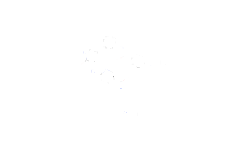 CN(C)c1ccc(C(=O)Nc2cccc(-c3c[nH]c(=O)c(Nc4ccc(C(=O)N5CCC(N(C)C)CC5)cn4)c3)c2CO)cc1